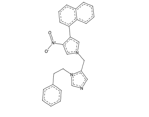 O=[N+]([O-])c1cn(Cc2cncn2CCc2ccccc2)cc1-c1cccc2ccccc12